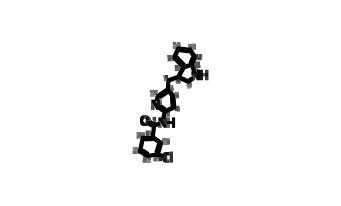 O=C(Nc1ccc(CC2CNc3ccccc32)cn1)c1cccc(Cl)c1